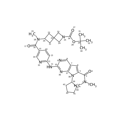 CN(C)C(=O)c1cc2cnc(Nc3ccc(C(=O)N(C)C4CC5(C4)CN(C(=O)OC(C)(C)C)C5)cn3)nc2n1C1CCCC1